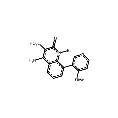 CCn1c(=O)c(C(=O)O)c(N)c2cccc(-c3cnccc3OC)c21